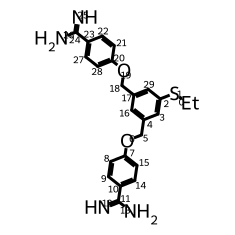 CCSc1cc(COc2ccc(C(=N)N)cc2)cc(COc2ccc(C(=N)N)cc2)c1